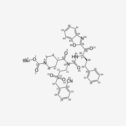 CC(C)(C)OC(=O)N1CCC(C(=O)N(CCS(=O)(=O)Cc2ccccc2C#N)C(=O)N[C@H](CCc2ccccc2)C(=O)c2nc3ccccc3o2)CC1